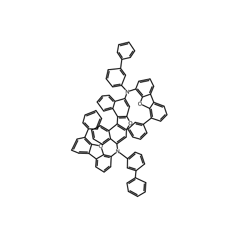 c1ccc(-c2cccc(N(c3cc4oc5cc(N(c6cccc(-c7ccccc7)c6)c6cccc7c6oc6c(-c8ccccc8)cccc67)c6ccccc6c5c4c4ccccc34)c3cccc4c3oc3c(-c5ccccc5)cccc34)c2)cc1